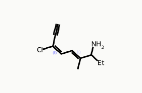 C#C/C(Cl)=C\C=C(/C)C(N)CC